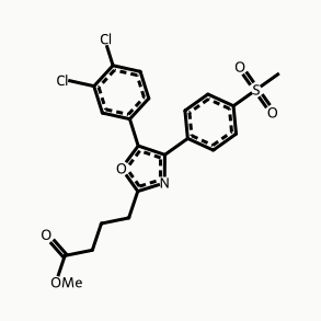 COC(=O)CCCc1nc(-c2ccc(S(C)(=O)=O)cc2)c(-c2ccc(Cl)c(Cl)c2)o1